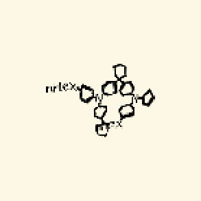 CCCCCCc1ccc(N(c2ccccc2)c2ccc(C3(c4ccc(N(c5ccc(CCCCCC)cc5)c5ccc(C6CCCCC6)cc5)cc4)CCCCC3)cc2)cc1